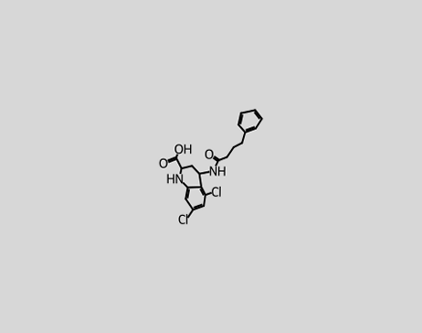 O=C(CCCc1ccccc1)NC1CC(C(=O)O)Nc2cc(Cl)cc(Cl)c21